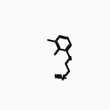 Cc1cccc(SCCC(=O)O)c1C